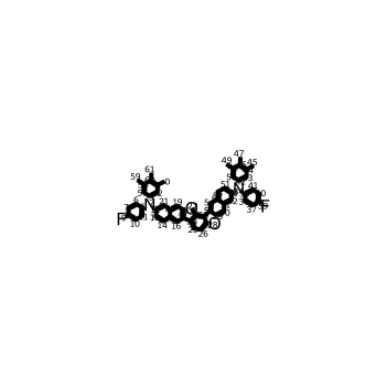 Cc1cc(N(c2ccc(F)cc2)c2ccc3cc4c(cc3c2)oc2c4ccc3oc4cc5cc(N(c6ccc(F)cc6)c6cc(C)c(C)c(C)c6)ccc5cc4c32)cc(C)c1C